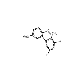 COc1ccc(C)c(-c2cc(F)cc(F)c2C)c1